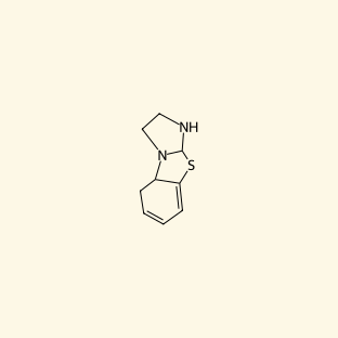 C1=CCC2C(=C1)SC1NCCN12